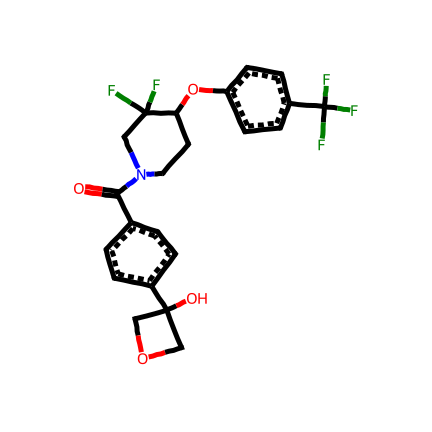 O=C(c1ccc(C2(O)COC2)cc1)N1CCC(Oc2ccc(C(F)(F)F)cc2)C(F)(F)C1